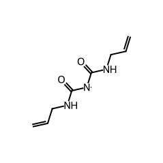 C=CCNC(=O)[N]C(=O)NCC=C